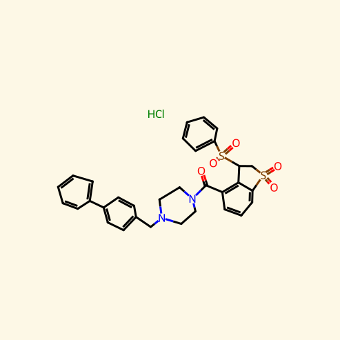 Cl.O=C(c1cccc2c1C(S(=O)(=O)c1ccccc1)CS2(=O)=O)N1CCN(Cc2ccc(-c3ccccc3)cc2)CC1